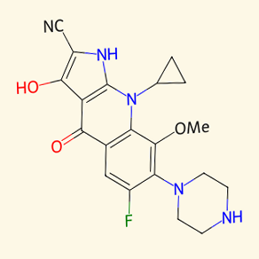 COc1c(N2CCNCC2)c(F)cc2c(=O)c3c(O)c(C#N)[nH]c3n(C3CC3)c12